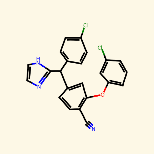 N#Cc1ccc(C(c2ccc(Cl)cc2)c2ncc[nH]2)cc1Oc1cccc(Cl)c1